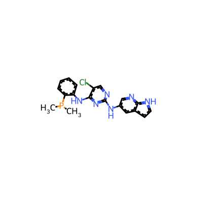 CP(C)c1ccccc1Nc1nc(Nc2cnc3[nH]ccc3c2)ncc1Cl